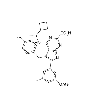 COc1cc(C)cc(-c2nc3nc(C(=O)O)nc(N[C@H](C)C4CCC4)c3n2Cc2ccc(C(F)(F)F)cc2)c1